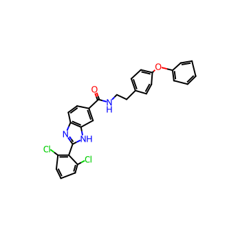 O=C(NCCc1ccc(Oc2ccccc2)cc1)c1ccc2nc(-c3c(Cl)cccc3Cl)[nH]c2c1